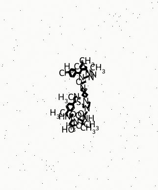 Cc1ncsc1-c1ccc(C(C)NC(=O)[C@@H]2C[C@@H](O)CN2C(=O)[C@@H](NC(=O)CN2CCN(C3CC4(C3)CN(C(=O)C[C@@H]3N=C(c5ccc(Cl)cc5)c5c(sc(C)c5C)-n5c(C)nnc53)C4)CC2)C(C)(C)C)cc1